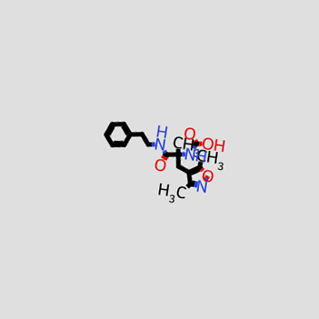 Cc1noc(C)c1CC(C)(NC(=O)O)C(=O)NCCc1ccccc1